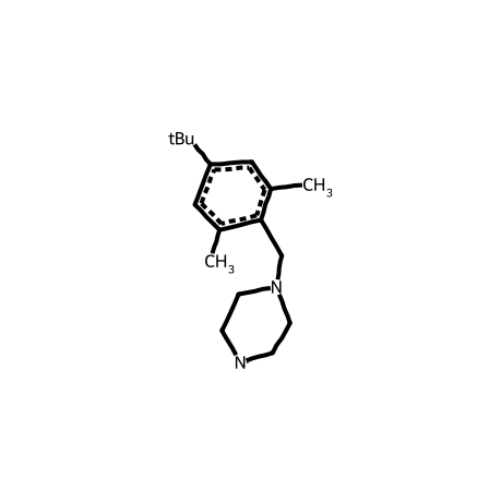 Cc1cc(C(C)(C)C)cc(C)c1CN1CC[N]CC1